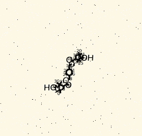 CC1(C)CC(C(=O)OCC2CCC(COC(=O)C3CC(C)(C)N(O)C3(C)C)CC2)C(C)(C)N1O